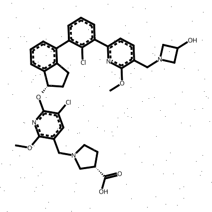 COc1nc(-c2cccc(-c3cccc4c3CC[C@@H]4Oc3nc(OC)c(CN4CC[C@H](C(=O)O)C4)cc3Cl)c2Cl)ccc1CN1CC(O)C1